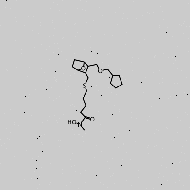 CN(O)C(=O)CCCCSCC1C2CCC(O2)C1COCC1CCCC1